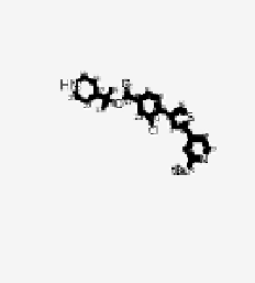 CC(C)(C)c1cc(-c2cc(-c3ccc(C(=O)OC(C)(C)C4CCNCC4)cc3Cl)cs2)ccn1